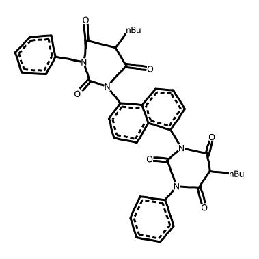 CCCCC1C(=O)N(c2ccccc2)C(=O)N(c2cccc3c(N4C(=O)C(CCCC)C(=O)N(c5ccccc5)C4=O)cccc23)C1=O